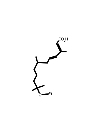 CCOC(C)(C)CCCC(C)CC=CC(C)=CC(=O)O